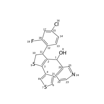 OC(C1=C(c2ccsc2)SCC1c1ccc(Cl)cc1F)c1cccnc1